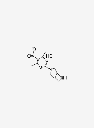 COC(=O)c1c(C)cc(N2CC3CNC3C2)nc1C.Cl